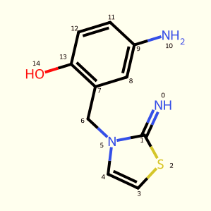 N=c1sccn1Cc1cc(N)ccc1O